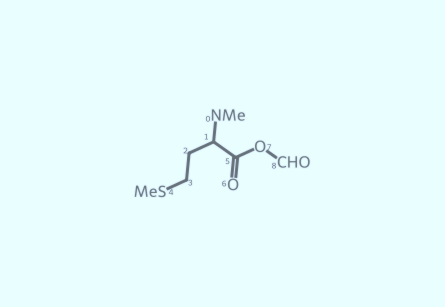 CNC(CCSC)C(=O)OC=O